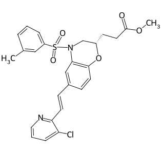 COC(=O)CC[C@H]1CN(S(=O)(=O)c2cccc(C)c2)c2cc(/C=C/c3ncccc3Cl)ccc2O1